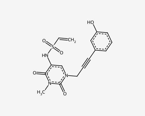 C=CS(=O)(=O)Nc1cn(CC#Cc2cccc(O)c2)c(=O)n(C)c1=O